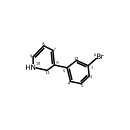 Brc1cccc(C2=CC=CNC2)c1